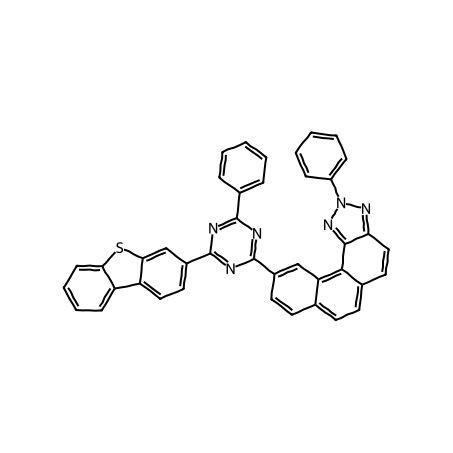 c1ccc(-c2nc(-c3ccc4c(c3)sc3ccccc34)nc(-c3ccc4ccc5ccc6nn(-c7ccccc7)nc6c5c4c3)n2)cc1